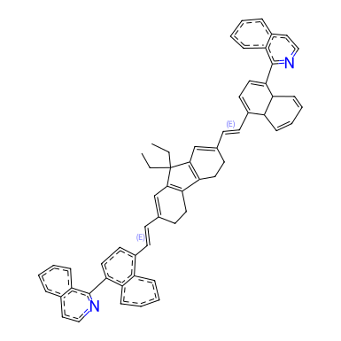 CCC1(CC)C2=C(CCC(/C=C/C3=CC=C(c4nccc5ccccc45)C4C=CC=CC34)=C2)C2=C1C=C(/C=C/c1ccc(-c3nccc4ccccc34)c3ccccc13)CC2